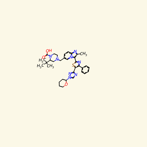 Cc1nc2ccc(CN3CCN(C(=O)O)C(C(C)(C)C)C3)cn2c1-c1nc(-c2ccccc2)c(-c2ncn(C3CCCCO3)n2)s1